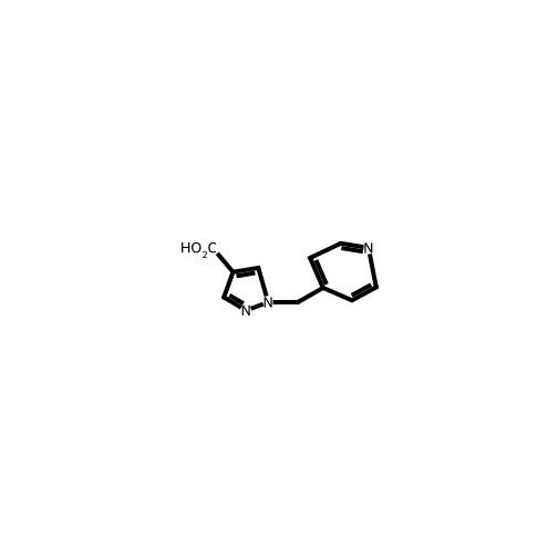 O=C(O)c1cnn(Cc2ccncc2)c1